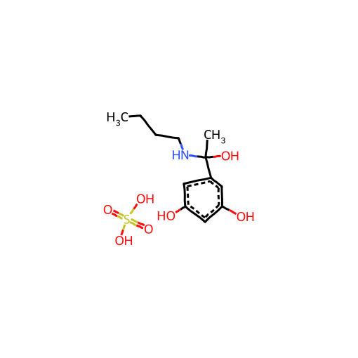 CCCCNC(C)(O)c1cc(O)cc(O)c1.O=S(=O)(O)O